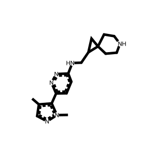 Cc1cnn(C)c1-c1ccc(NCC2CC23CCNCC3)nn1